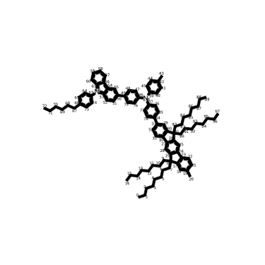 CCCCCCCCC1(CCCCCCCC)c2cc(C)ccc2-c2cc3c(cc21)-c1ccc(-c2ccc(N(c4ccc(C)cc4)c4ccc(-c5ccc6c(c5)c5ccccc5n6-c5ccc(CCCCCC)cc5)cc4)cc2)cc1C3(CCCCCCCC)CCCCCCCC